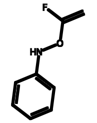 C=C(F)ONc1ccccc1